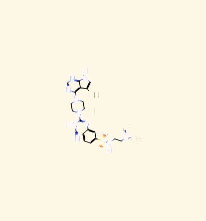 Cc1c[nH]c2ncnc(N3CCN(C(=Nc4cccc(S(=O)(=O)NCCN(C)C)c4)NC#N)[C@@H](C)C3)c12